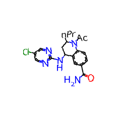 CCCC1CC(Nc2ncc(Cl)cn2)c2cc(C(N)=O)ccc2N1C(C)=O